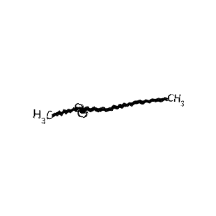 CCCCCCCCCCCCCCCCCC=CCCCCCCCCCCC(=O)OCCCCCCCCCCCC